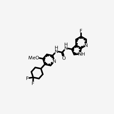 COc1cc(NC(=O)Nc2c[nH]c3ncc(F)cc23)ncc1C1CCC(F)(F)CC1